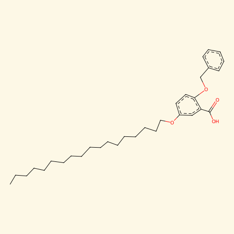 CCCCCCCCCCCCCCCCCCOc1ccc(OCc2ccccc2)c(C(=O)O)c1